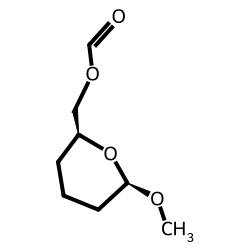 CO[C@H]1CCC[C@@H](COC=O)O1